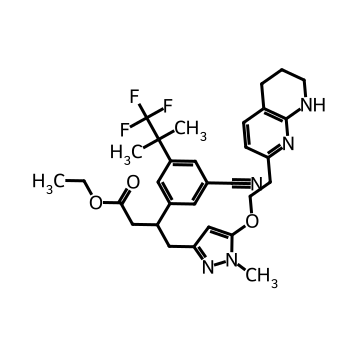 CCOC(=O)CC(Cc1cc(OCCc2ccc3c(n2)NCCC3)n(C)n1)c1cc(C#N)cc(C(C)(C)C(F)(F)F)c1